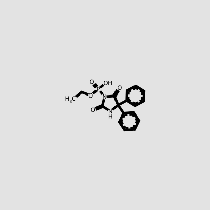 CCOP(=O)(O)N1C(=O)NC(c2ccccc2)(c2ccccc2)C1=O